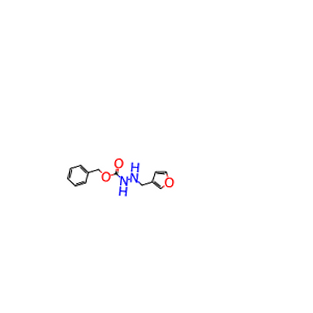 O=C(NNCc1ccoc1)OCc1ccccc1